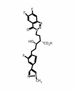 Cn1cc(-c2ccc(CC[C@@H](O)[C@H](CCn3nnc4cc(F)c(F)cc4c3=O)C(=O)O)c(F)c2)cn1